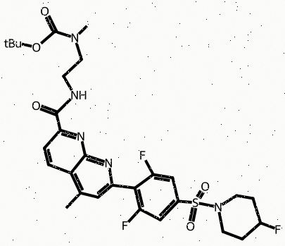 Cc1cc(-c2c(F)cc(S(=O)(=O)N3CCC(F)CC3)cc2F)nc2nc(C(=O)NCCN(C)C(=O)OC(C)(C)C)ccc12